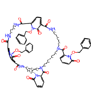 Cn1c(C(=O)N2CCCCN(C(=O)c3cccc(=O)n3OCc3ccccc3)CCCNC(=O)c3ccc(n(OCc4ccccc4)c3=O)C(=O)NCCNC(=O)c3ccc(c(=O)n3OCc3ccccc3)C(=O)NCCC2)cccc1=O